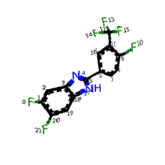 Fc1cc2nc(-c3ccc(F)c(C(F)(F)F)c3)[nH]c2cc1F